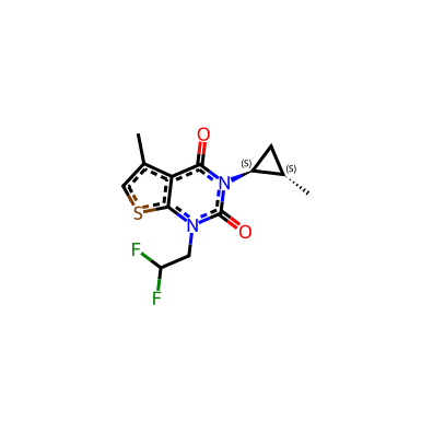 Cc1csc2c1c(=O)n([C@H]1C[C@@H]1C)c(=O)n2CC(F)F